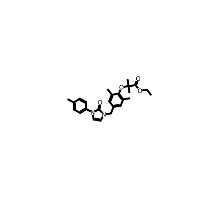 CCOC(=O)C(C)(C)Oc1c(C)cc(Cn2ccn(-c3ccc(C)cc3)c2=O)cc1C